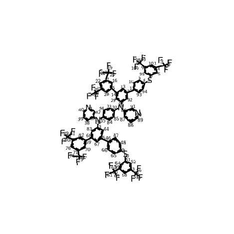 FC(F)(F)c1cc(Sc2ccc(-c3cc(-c4cc(C(F)(F)F)cc(C(F)(F)F)c4)cc(N(c4ccc(N(c5cccnc5)c5cc(-c6ccc(Sc7cc(C(F)(F)F)cc(C(F)(F)F)c7)cc6)cc(-c6cc(C(F)(F)F)cc(C(F)(F)F)c6)c5)cc4)c4cccnc4)c3)cc2)cc(C(F)(F)F)c1